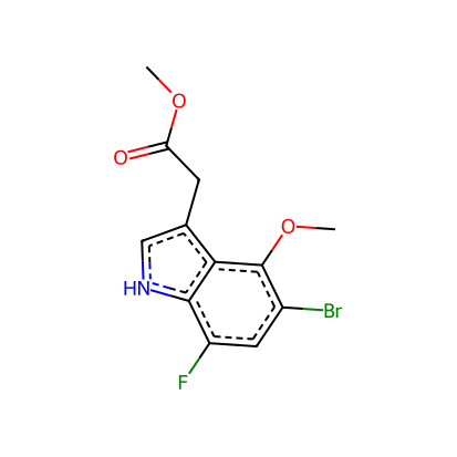 COC(=O)Cc1c[nH]c2c(F)cc(Br)c(OC)c12